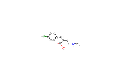 [C-]#[N+]CC=C(Bc1ccc(F)cc1)C(=O)O